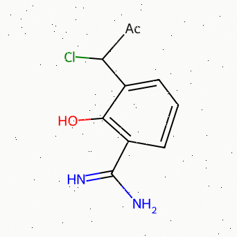 CC(=O)C(Cl)c1cccc(C(=N)N)c1O